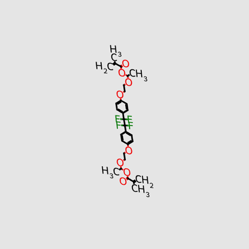 C=C(C)C(=O)OC(C)OCCOc1ccc(C(F)(F)C(F)(F)c2ccc(OCCOC(C)OC(=O)C(=C)C)cc2)cc1